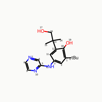 CC(C)(C)c1cc(Nc2cnccn2)cc(C(C)(C)CO)c1O